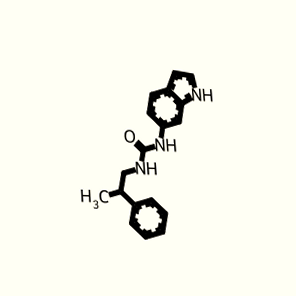 CC(CNC(=O)Nc1ccc2cc[nH]c2c1)c1ccccc1